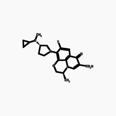 C[C@H]1COc2c(N3CC[C@H](N(C)C4CC4)C3)c(F)cc3c(=O)c(C(=O)O)cn1c23